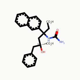 NC(=O)NC(CC(=O)O)(C[C@@](O)(Cc1ccccc1)C(=O)O)c1ccc2ccccc2c1